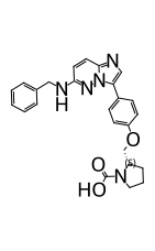 O=C(O)N1CCC[C@H]1COc1ccc(-c2cnc3ccc(NCc4ccccc4)nn23)cc1